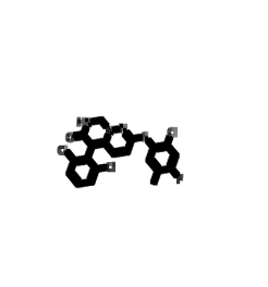 Cc1cc(SC2=NN3CNC(=O)C(c4c(Cl)cccc4Cl)=C3C=C2)c(Cl)cc1F